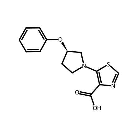 O=C(O)c1ncsc1N1CC[C@@H](Oc2ccccc2)C1